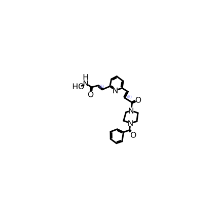 O=C(/C=C/c1cccc(/C=C/C(=O)N2CCN(C(=O)c3ccccc3)CC2)n1)NO